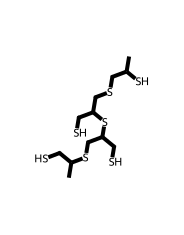 CC(S)CSCC(CS)SC(CS)CSC(C)CS